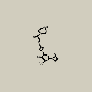 CC1CCN1c1nc(N2CC(OCC(=O)N3CCNCC3)C2)c(Cl)c(C(F)(F)F)n1